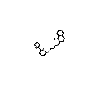 C1=NC(c2cccc(OCCCCC3CCc4ccccc4N3)n2)=CC1